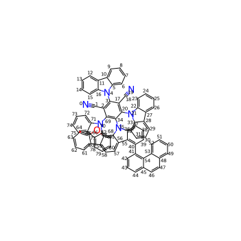 N#Cc1c(-n2c3ccccc3c3ccccc32)c(C#N)c(-n2c3ccccc3c3ccccc32)c(-n2c3cccc(-c4cccc5ccc6ccccc6c45)c3c3ccc4c5ccccc5oc4c32)c1-n1c2ccccc2c2ccccc21